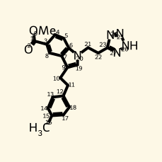 COC(=O)c1ccc2c(c1)c(CCc1ccc(C)cc1)cn2CCc1nn[nH]n1